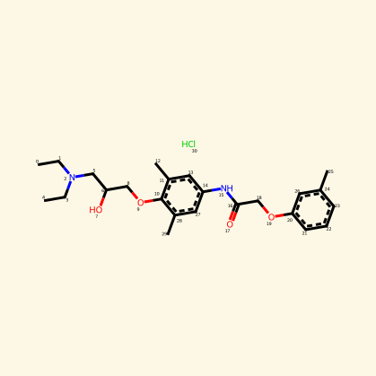 CCN(CC)CC(O)COc1c(C)cc(NC(=O)COc2cccc(C)c2)cc1C.Cl